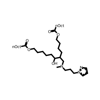 CCCCCCCCC(=O)OCCCCCC(O)C(CCCCOC(=O)CCCCCCCC)CN(C)CCCn1cccn1